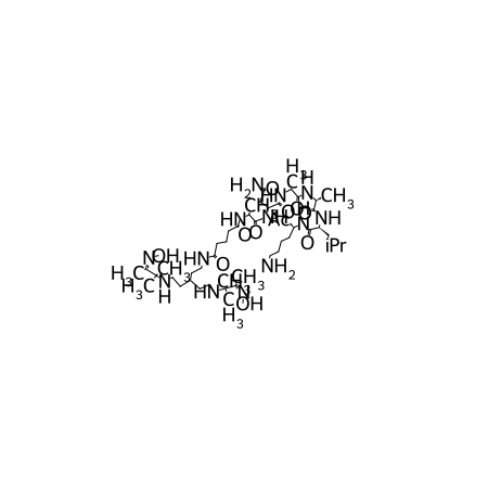 CC(=O)[C@H](CCCCN)NC(=O)[C@H](CC(C)C)NC(=O)[C@H](C)NC(=O)[C@H](C)NC(=O)[C@H](CC(N)=O)NC(=O)[C@H](C)NC(=O)CCCC(=O)NCCC(CCNC(C)(C)/C(C)=N\O)CCNC(C)(C)/C(C)=N\O